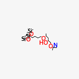 CC(CC(O)COC1(C)C=N1)OCCCC[Si](C)(O[Si](C)(C)C)O[Si](C)(C)C